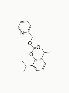 CC(C)c1cccc(C(C)C)c1OC(=O)OCc1ccccn1